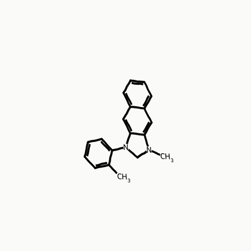 Cc1ccccc1N1CN(C)c2cc3ccccc3cc21